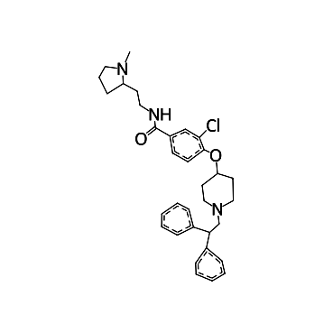 CN1CCCC1CCNC(=O)c1ccc(OC2CCN(CC(c3ccccc3)c3ccccc3)CC2)c(Cl)c1